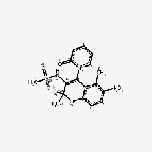 Cc1c([N+](=O)[O-])ccc2c1C(n1ccccc1=O)=C(NS(C)(=O)=O)C(C)(C)O2